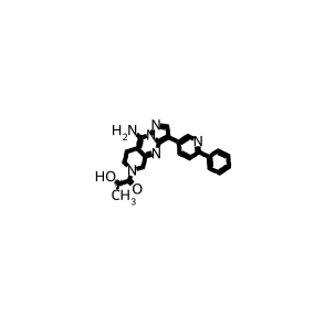 C[C@@H](O)C(=O)N1CCc2c(nc3c(-c4ccc(-c5ccccc5)nc4)cnn3c2N)C1